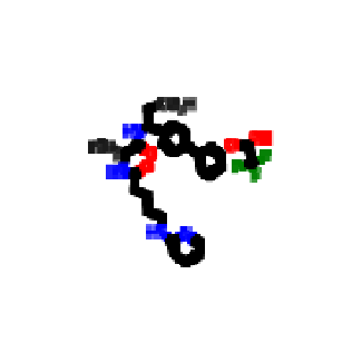 CCCC[C@@H](NC(=O)CCCCNc1ccccn1)C(=O)NC(CC(=O)O)c1ccc(-c2ccccc2)cc1.O=C(O)C(F)(F)F